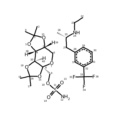 CC1(C)O[C@@H]2[C@@H](CO[C@@]3(COS(N)(=O)=O)OC(C)(C)O[C@@H]23)O1.CCN[C@@H](C)Cc1cccc(C(F)(F)F)c1